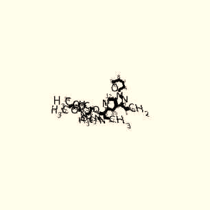 C=Cc1nn(C2CCCCO2)c2cnc(-c3c(C)nn(C)c3O[C@H](C)CN(C)C(=O)OC(C)(C)C)cc12